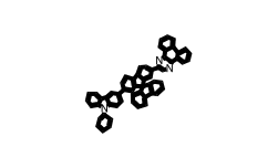 C1=CC2=C(CC1)C1(c3ccccc32)c2cc(-c3ccc4c(c3)c3ccccc3n4-c3ccccc3)ccc2-c2ccc(-c3cnc4c5ccccc5c5ccccc5c4n3)cc21